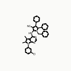 Cc1c(C)n(-c2cccc(Cl)c2)c2ncnc(Nc3c(C#N)c(-c4ccccc4)c(-c4ccccc4)n3Cc3ccccc3)c12